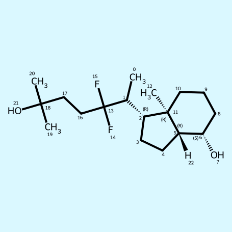 CC([C@H]1CC[C@H]2[C@@H](O)CCC[C@]12C)C(F)(F)CCC(C)(C)O